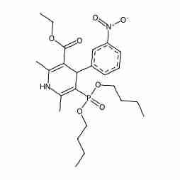 CCCCOP(=O)(OCCCC)C1=C(C)NC(C)=C(C(=O)OCC)C1c1cccc([N+](=O)[O-])c1